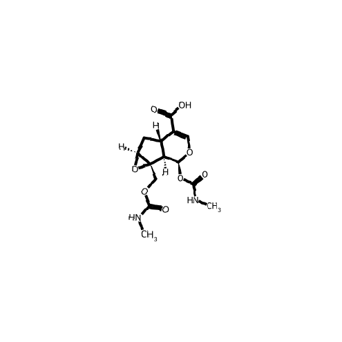 CNC(=O)OC[C@@]12O[C@H]1C[C@@H]1C(C(=O)O)=CO[C@@H](OC(=O)NC)[C@H]12